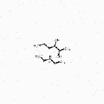 CCCC(O)C(C)O.CCNCC